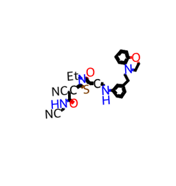 CCn1c(=C=C(C#N)C(=O)NCC#N)sc(=C=CNc2cccc(CCN3CCOc4ccccc43)c2)c1=O